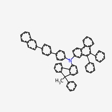 CC1(c2ccccc2)c2ccccc2-c2c(N(c3ccc(-c4ccc(-c5ccc6ccccc6c5)cc4)cc3)c3ccc4c(c3)c(-c3ccccc3)c(-c3ccccc3)c3ccccc34)cccc21